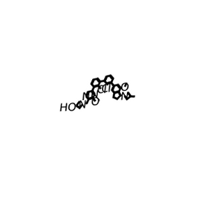 COc1cc(-c2cccc(-c3cccc(-c4cnc(CN5CC(O)C5)c(OC)n4)c3Cl)c2Cl)cc2c1C(N1CC(C)C1)CC2